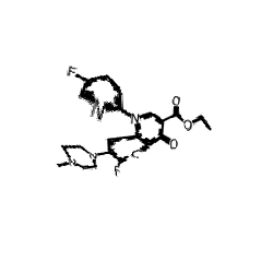 CCOC(=O)c1cn(-c2ccc(F)cn2)c2cc(N3CCN(C)CC3)c(F)cc2c1=O